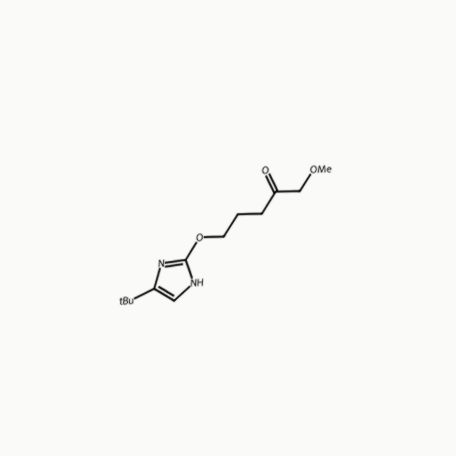 COCC(=O)CCCOc1nc(C(C)(C)C)c[nH]1